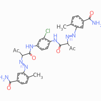 CC(=O)C(/N=N/c1cc(C(N)=O)ccc1C)C(=O)Nc1ccc(NC(=O)C(/N=N/c2cc(C(N)=O)ccc2C)C(C)=O)c(Cl)c1